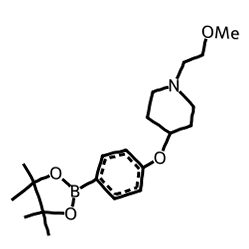 COCCN1CCC(Oc2ccc(B3OC(C)(C)C(C)(C)O3)cc2)CC1